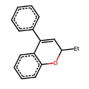 [CH2]CC1C=C(c2ccccc2)c2ccccc2O1